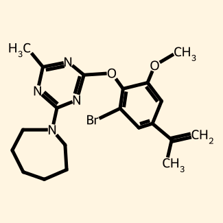 C=C(C)c1cc(Br)c(Oc2nc(C)nc(N3CCCCCC3)n2)c(OC)c1